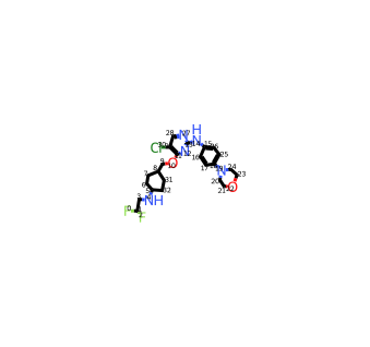 FC(F)CNC1CCC(COc2nc(Nc3ccc(N4CCOCC4)cc3)ncc2Cl)CC1